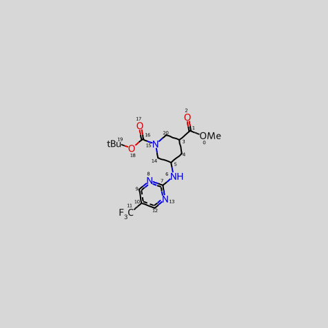 COC(=O)C1CC(Nc2ncc(C(F)(F)F)cn2)CN(C(=O)OC(C)(C)C)C1